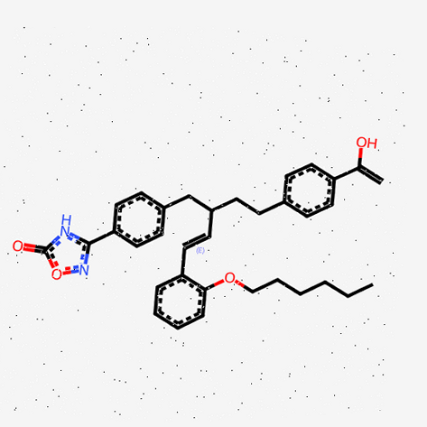 C=C(O)c1ccc(CCC(/C=C/c2ccccc2OCCCCCC)Cc2ccc(-c3noc(=O)[nH]3)cc2)cc1